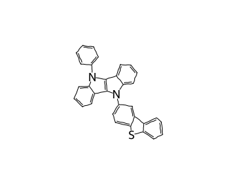 c1ccc(-n2c3ccccc3c3c2c2ccccc2n3-c2ccc3sc4ccccc4c3c2)cc1